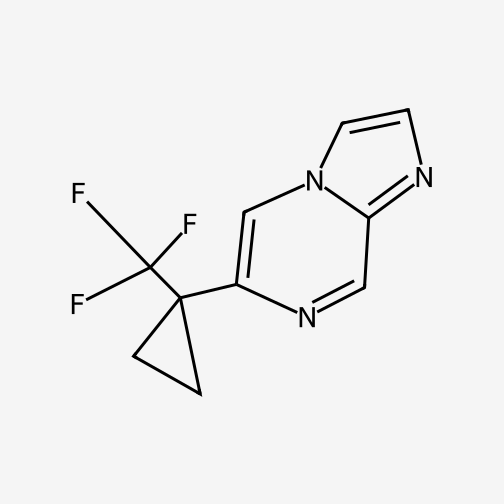 FC(F)(F)C1(c2cn3ccnc3cn2)CC1